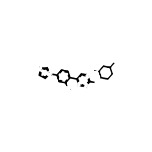 CC1CC[C@H](Oc2ncc(-c3ccc(-n4ccnc4)cc3O)nn2)[C@@H](F)C1